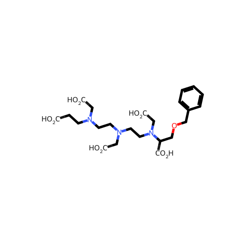 O=C(O)CCN(CCN(CCN(CC(=O)O)C(COCc1ccccc1)C(=O)O)CC(=O)O)CC(=O)O